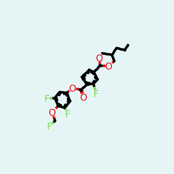 CCCC1COC(c2ccc(C(=O)Oc3cc(F)c(OCF)c(F)c3)c(F)c2)OC1